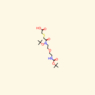 CC(C)(C)OC(=O)NCCOCCN(OC(C)(C)C)C(=O)CSCC(=O)O